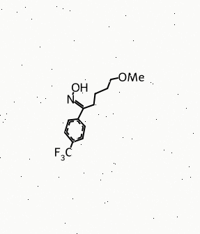 COCCCCC(=NO)c1ccc(C(F)(F)F)cc1